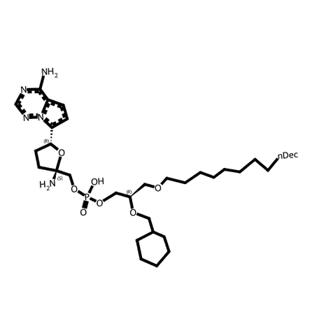 CCCCCCCCCCCCCCCCCCOC[C@H](COP(=O)(O)OC[C@]1(N)CC[C@H](c2ccc3c(N)ncnn23)O1)OCC1CCCCC1